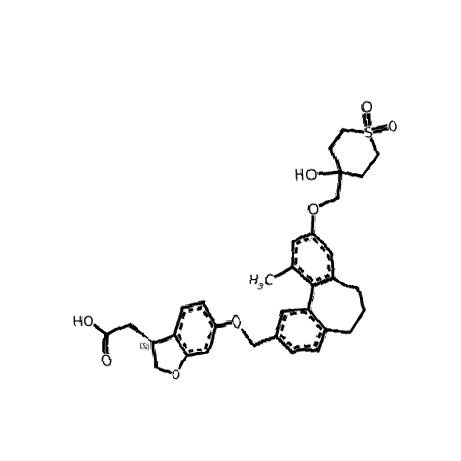 Cc1cc(OCC2(O)CCS(=O)(=O)CC2)cc2c1-c1cc(COc3ccc4c(c3)OC[C@H]4CC(=O)O)ccc1CCC2